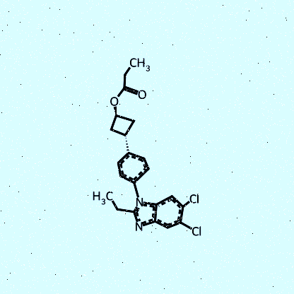 CCC(=O)O[C@H]1C[C@H](c2ccc(-n3c(CC)nc4cc(Cl)c(Cl)cc43)cc2)C1